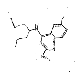 CCCC(CCC)Nc1nc(N)nc2ccc(C)cc12